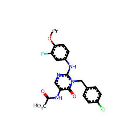 CC(C)Oc1ccc(Nc2ncc(NC(=O)C(=O)O)c(=O)n2Cc2ccc(Cl)cc2)cc1F